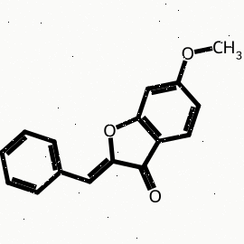 COc1ccc2c(c1)OC(=Cc1ccccc1)C2=O